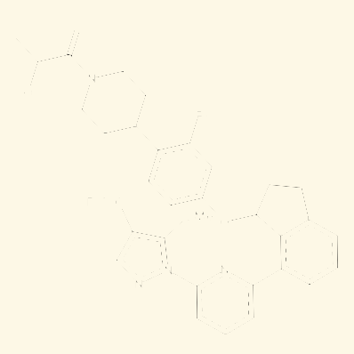 CCOC(=O)c1cnn(-c2cccc(-c3cccc4c3C(Oc3ccc(C5CCN(C(=O)C(C)O)CC5)c(CC)c3)CC4)n2)c1OC